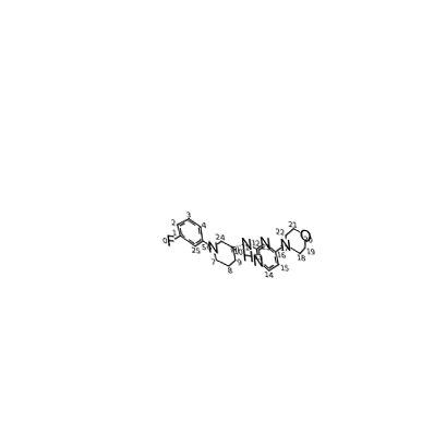 Fc1cccc(N2CCC[C@@H](Nc3nccc(N4CCOCC4)n3)C2)c1